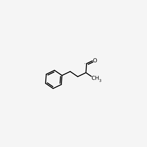 CC([C]=O)CCc1ccccc1